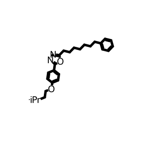 C[C](C)CCOc1ccc(-c2nnc(CCCCCCCc3ccccc3)o2)cc1